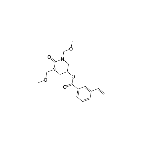 C=Cc1cccc(C(=O)OC2CN(COC)C(=O)N(COC)C2)c1